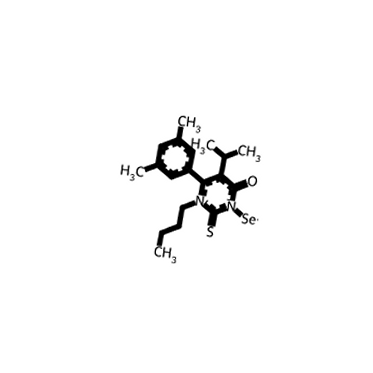 CCCCn1c(-c2cc(C)cc(C)c2)c(C(C)C)c(=O)n([Se])c1=S